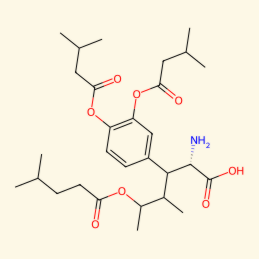 CC(C)CCC(=O)OC(C)C(C)C(c1ccc(OC(=O)CC(C)C)c(OC(=O)CC(C)C)c1)[C@H](N)C(=O)O